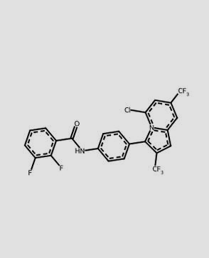 O=C(Nc1ccc(-c2c(C(F)(F)F)cc3cc(C(F)(F)F)cc(Cl)n23)cc1)c1cccc(F)c1F